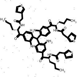 CCCC[C@H](NC(=O)Cc1ccsc1)C(=O)c1ccc(C(c2ccc(C(=O)[C@H](CCCC)NC(=O)Cc3ccsc3)cc2N)c2ccc(C(=O)[C@H](CCCC)NC(=O)Cc3ccsc3)cc2N)c(N)c1